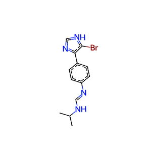 CC(C)NC=Nc1ccc(-c2nc[nH]c2Br)cc1